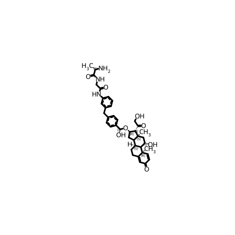 C[C@H](N)C(=O)NCC(=O)Nc1cccc(Cc2ccc([C@@H](O)O[C@@H]3CC4[C@@H]5CCC6=CC(=O)C=C[C@]6(C)C5[C@@H](O)C[C@]4(C)[C@H]3C(=O)CO)cc2)c1